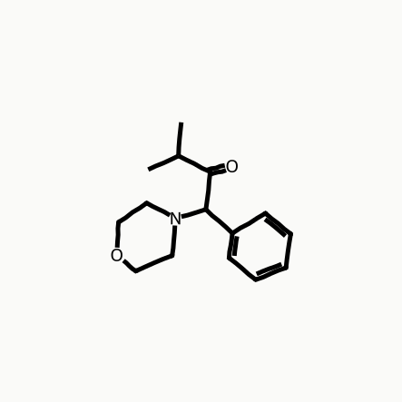 CC(C)C(=O)C(c1ccccc1)N1CCOCC1